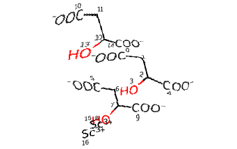 O=C([O-])CC(O)C(=O)[O-].O=C([O-])CC(O)C(=O)[O-].O=C([O-])CC(O)C(=O)[O-].[Sc+3].[Sc+3]